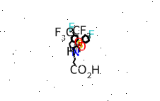 O=C(O)CCCCN1CC[C@@]2(S(=O)(=O)c3ccc(F)cc3)c3ccc(C(F)(C(F)(F)F)C(F)(F)F)cc3CC[C@@H]12